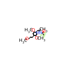 COCC=Cc1cc(OC)c(C[C@@H](C)NC(=O)C(F)(F)F)cc1OC